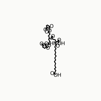 O=C(O)CCCCCCCCCCCCCCC(=O)NC(CCC(=O)N(CCC(=O)ON1C(=O)CCC1=O)CCC(=O)ON1C(=O)CCC1=O)C(=O)O